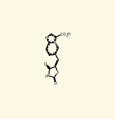 CCOC(=O)c1cnc2ccc(C=C3SC(=O)NC3=O)cn12